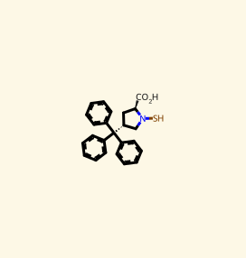 O=C(O)[C@@H]1C[C@@H](C(c2ccccc2)(c2ccccc2)c2ccccc2)CN1S